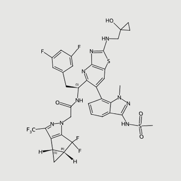 Cn1nc(NS(C)(=O)=O)c2cccc(-c3cc4sc(NCC5(O)CC5)nc4nc3[C@H](Cc3cc(F)cc(F)c3)NC(=O)Cn3nc(C(F)(F)F)c4c3C(F)(F)[C@@H]3C[C@H]43)c21